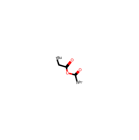 CC[CH]C(=O)OC(=O)CC(C)(C)C